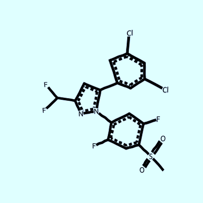 CS(=O)(=O)c1cc(F)c(-n2nc(C(F)F)cc2-c2cc(Cl)cc(Cl)c2)cc1F